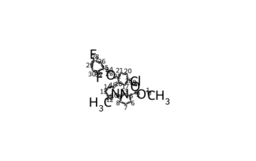 CCOC(=O)c1cccc(-n2c(C)ccc2-c2cc(Cl)ccc2OCc2cc(F)ccc2F)n1